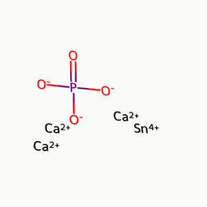 O=P([O-])([O-])[O-].[Ca+2].[Ca+2].[Ca+2].[Sn+4]